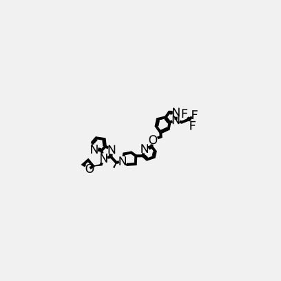 C[C@@H](c1nc2cccnc2n1C[C@@H]1CCO1)N1CCC(c2cccc(OCc3ccc4cnn(CC(F)(F)F)c4c3)n2)CC1